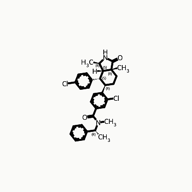 C[C@H](c1ccccc1)N(C)C(=O)c1ccc([C@@H]2CC[C@@]3(C)C(=O)N[C@H](C)[C@H]3[C@H]2c2ccc(Cl)cc2)c(Cl)c1